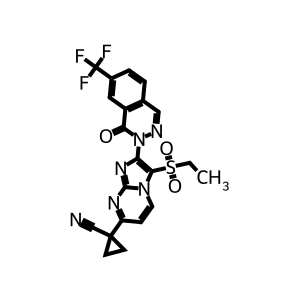 CCS(=O)(=O)c1c(-n2ncc3ccc(C(F)(F)F)cc3c2=O)nc2nc(C3(C#N)CC3)ccn12